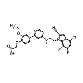 CCOc1cc(-c2cc(NCCn3c(C#N)cc4c(Cl)cc(F)c(F)c43)ncn2)ccc1OCC(=O)O